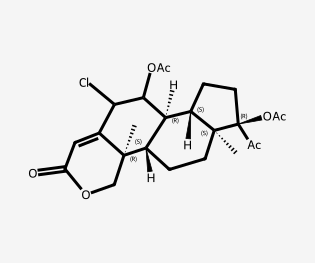 CC(=O)OC1C(Cl)C2=CC(=O)OC[C@]2(C)[C@H]2CC[C@@]3(C)[C@@H](CC[C@]3(OC(C)=O)C(C)=O)[C@H]12